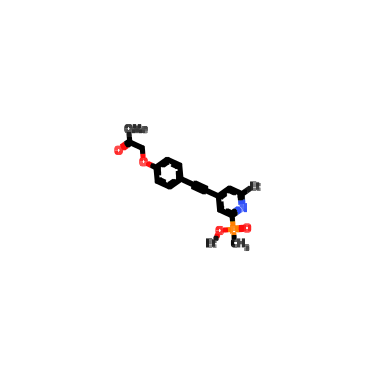 CCOP(C)(=O)c1cc(C#Cc2ccc(OCC(=O)OC)cc2)cc(CC)n1